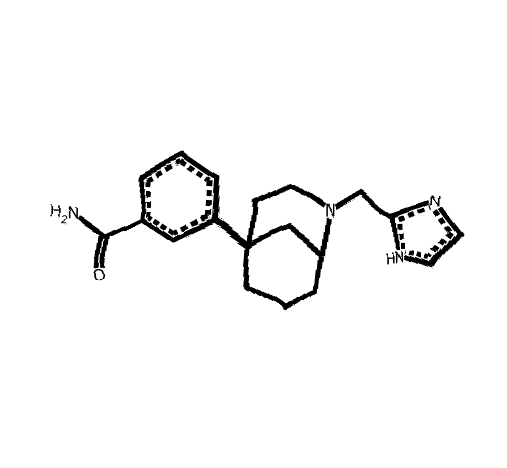 NC(=O)c1cccc(C23CCCC(C2)N(Cc2ncc[nH]2)CC3)c1